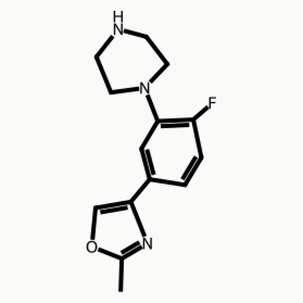 Cc1nc(-c2ccc(F)c(N3CCNCC3)c2)co1